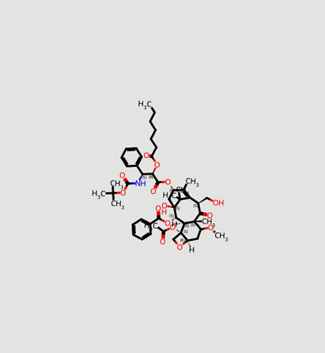 CCCCCCC(=O)O[C@@H](C(=O)O[C@H]1C[C@@]2(O)[C@@H](OC(=O)c3ccccc3)[C@@H]3[C@]4(OC(C)=O)CO[C@@H]4CC(OC)[C@@]3(C)C(=O)[C@H](CO)C(=C1C)C2(C)C)[C@@H](NC(=O)OC(C)(C)C)c1ccccc1